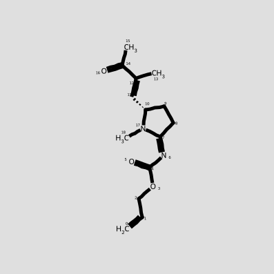 C=CCOC(=O)/N=C1/CC[C@@H](/C=C(\C)C(C)=O)N1C